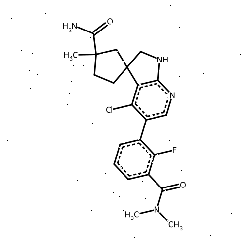 CN(C)C(=O)c1cccc(-c2cnc3c(c2Cl)C2(CCC(C)(C(N)=O)C2)CN3)c1F